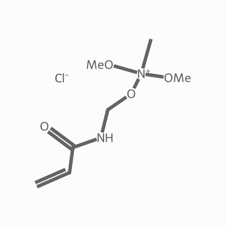 C=CC(=O)NCO[N+](C)(OC)OC.[Cl-]